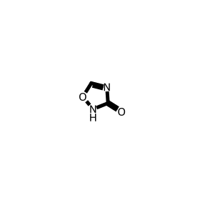 O=c1nco[nH]1